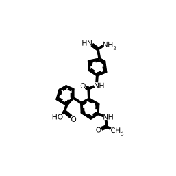 CC(=O)Nc1ccc(-c2ccccc2C(=O)O)c(C(=O)Nc2ccc(C(=N)N)cc2)c1